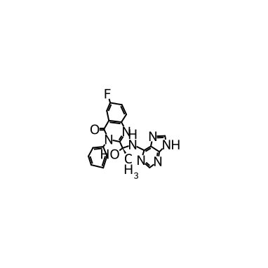 C[C@](O)(Nc1ncnc2[nH]cnc12)c1nc2ccc(F)cc2c(=O)n1-c1ccccc1